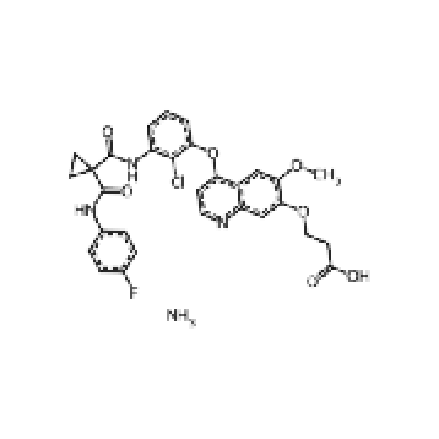 COc1cc2c(Oc3cccc(NC(=O)C4(C(=O)Nc5ccc(F)cc5)CC4)c3Cl)ccnc2cc1OCCC(=O)O.N